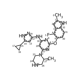 Cc1cc2c(F)c(Oc3nc(Nc4cc(C5CC5)[nH]n4)cc(N4CCNCC4C)n3)ccc2[nH]1